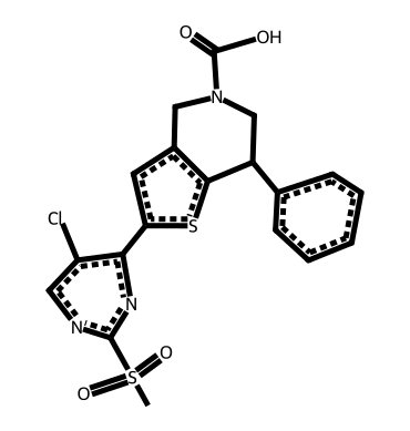 CS(=O)(=O)c1ncc(Cl)c(-c2cc3c(s2)C(c2ccccc2)CN(C(=O)O)C3)n1